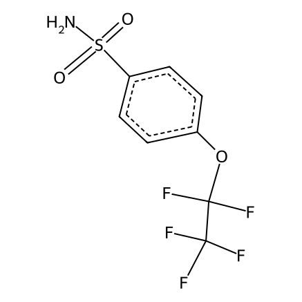 NS(=O)(=O)c1ccc(OC(F)(F)C(F)(F)F)cc1